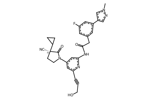 Cn1cc(-c2cc(F)cc(CC(=O)Nc3cc(N4CC[C@@](C#N)(C5CC5)C4=O)cc(C#CCO)n3)c2)cn1